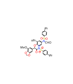 CCCc1cc(N(C=O)S(=O)(=O)c2ccc(C(C)C)cc2)ccc1OC(C(=O)NS(=O)(=O)c1ccc(C(C)C)cc1)c1cc(OC)c2c(c1)OCO2